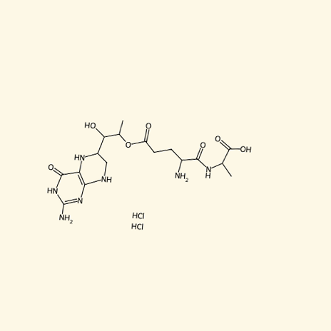 CC(NC(=O)C(N)CCC(=O)OC(C)C(O)C1CNc2nc(N)[nH]c(=O)c2N1)C(=O)O.Cl.Cl